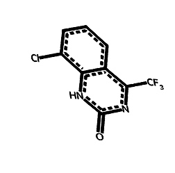 O=c1nc(C(F)(F)F)c2cccc(Cl)c2[nH]1